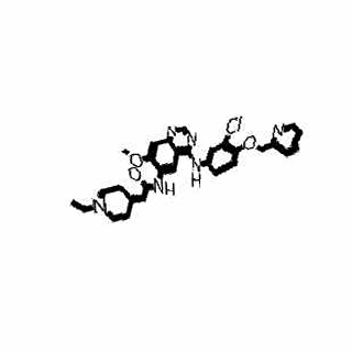 CCN1CCC(=CC(=O)Nc2cc3c(Nc4ccc(OCc5ccccn5)c(Cl)c4)ncnc3cc2OC)CC1